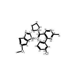 COc1ccc2nc([C@@H]3CCCN3C(=O)c3cnc(C)nc3-c3cccc(Cl)c3)[nH]c2c1